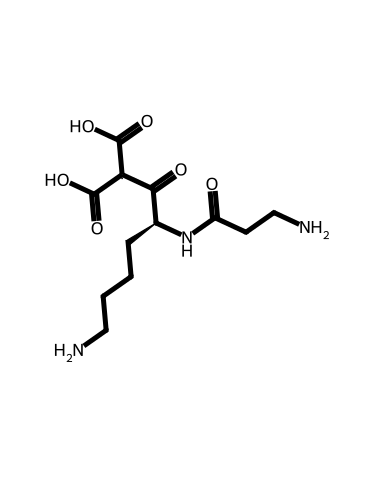 NCCCC[C@H](NC(=O)CCN)C(=O)[C](C(=O)O)C(=O)O